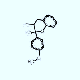 COc1ccc(C2(O)Oc3ccccc3CC2O)cc1